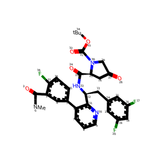 CNC(=O)c1cc(-c2cccnc2[C@H](Cc2cc(F)cc(F)c2)NC(=O)[C@@H]2CC(=O)CN2C(=O)OC(C)(C)C)ccc1F